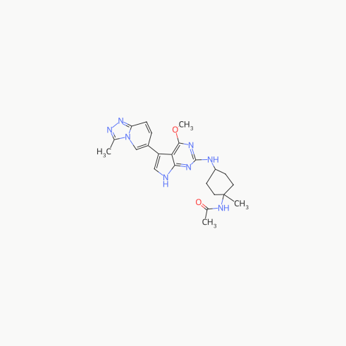 COc1nc(NC2CCC(C)(NC(C)=O)CC2)nc2[nH]cc(-c3ccc4nnc(C)n4c3)c12